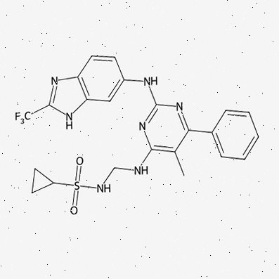 Cc1c(NCNS(=O)(=O)C2CC2)nc(Nc2ccc3nc(C(F)(F)F)[nH]c3c2)nc1-c1ccccc1